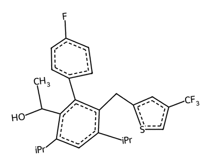 CC(C)c1cc(C(C)C)c(C(C)O)c(-c2ccc(F)cc2)c1Cc1cc(C(F)(F)F)cs1